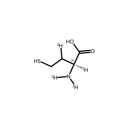 [2H]C(CS)[C@@]([2H])(C(=O)O)N([2H])[2H]